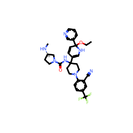 CCOC1(c2cccnc2)C=CC(C2(NC(=O)N3CC[C@H](NC)C3)CCN(c3ccc(C(F)(F)F)cc3C#N)CC2)=CN1